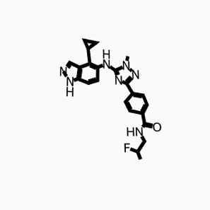 CC(F)CNC(=O)c1ccc(-c2nc(Nc3ccc4[nH]ncc4c3C3CC3)n(C)n2)cc1